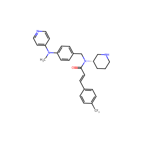 CN(c1ccncc1)c1ccc(CN(C(=O)/C=C/c2ccc(C(F)(F)F)cc2)[C@H]2CCCNC2)cc1